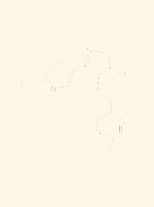 Cc1ccc(-c2noc(C)c2COc2cnc(C=O)cn2)cn1